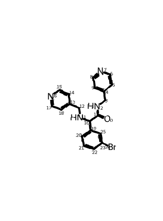 O=C(NCc1ccncc1)C(NCc1ccncc1)c1cccc(Br)c1